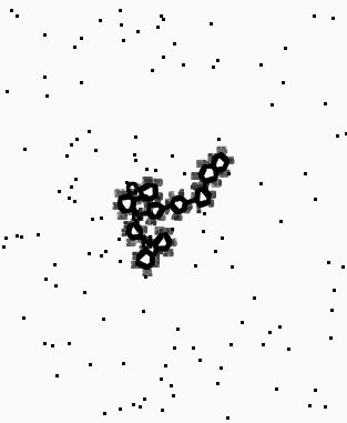 c1cc(-c2ccc(-c3ccc(N(c4cccc(-n5c6ccccc6c6ccccc65)c4)c4cccc5oc6ccccc6c45)cc3)cc2)cc(-c2ccc3ccccc3c2)c1